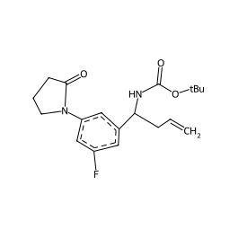 C=CCC(NC(=O)OC(C)(C)C)c1cc(F)cc(N2CCCC2=O)c1